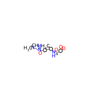 Cc1ccc(NC(=O)C2(c3ccc4c(c3)OCO4)CC2)cc1-c1ccc(C(=O)NCCCN(C)C)cc1